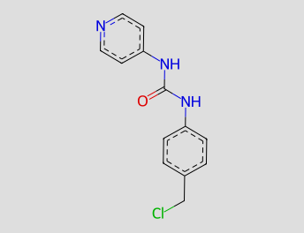 O=C(Nc1ccncc1)Nc1ccc(CCl)cc1